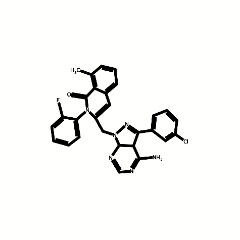 Cc1cccc2cc(CN3N=C(c4cccc(Cl)c4)C4C(N)=NC=NC43)n(-c3ccccc3F)c(=O)c12